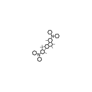 Cc1cc(N(c2ccccc2)c2ccccc2)cc2c1-c1cc3c(C)c(C)c4cc(N(c5ccccc5)c5ccccc5)cc(C)c4c3cc1C2(C)C